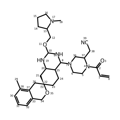 C=CC(=O)N1CCN(C2NC(OCC3CCCN3C)NC3C[C@]4(CCC32)Cc2c(C)cccc2CO4)CC1CC#N